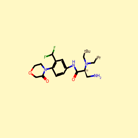 CC(C)CN(CC(C)(C)C)[C@@H](CN)C(=O)Nc1ccc(N2CCOCC2=O)c(C(F)F)c1